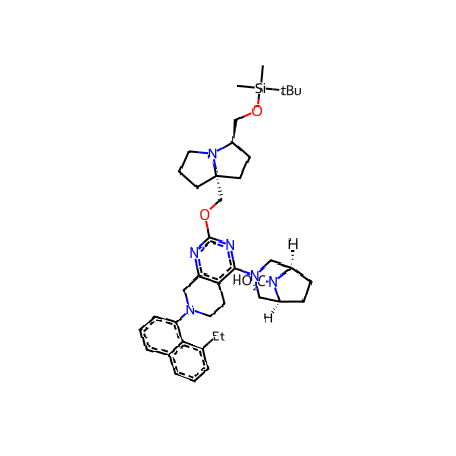 CCc1cccc2cccc(N3CCc4c(nc(OC[C@]56CCCN5[C@@H](CO[Si](C)(C)C(C)(C)C)CC6)nc4N4C[C@H]5CC[C@@H](C4)N5C(=O)O)C3)c12